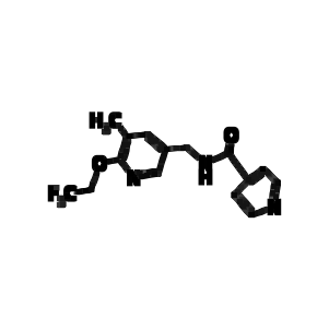 Cc1cc(CNC(=O)c2ccncc2)cnc1OCC(F)(F)F